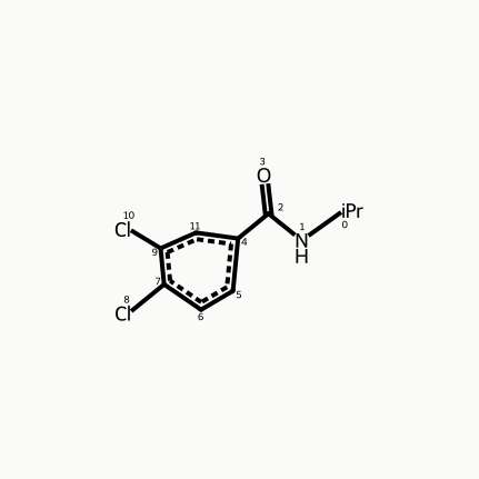 CC(C)NC(=O)c1ccc(Cl)c(Cl)c1